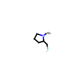 CC(C)(C)N1CCCC1CF